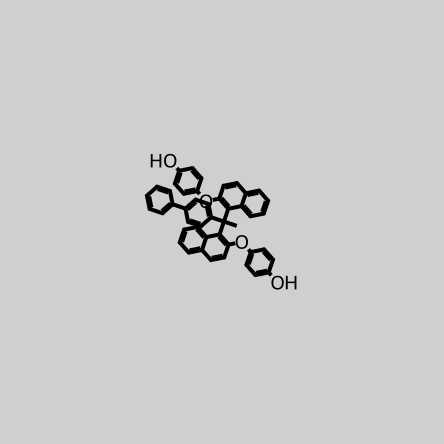 CC(c1ccc(-c2ccccc2)cc1)(c1c(Oc2ccc(O)cc2)ccc2ccccc12)c1c(Oc2ccc(O)cc2)ccc2ccccc12